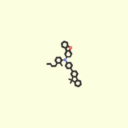 C=C/C=C\c1cccc(N(c2ccc(-c3ccc4c(c3)C(C)(C)c3ccccc3-4)cc2)C2C=c3c(oc4ccccc34)=CC2)c1C